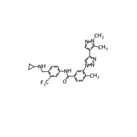 Cc1ccc(C(=O)Nc2ccc(CNC3CC3)c(C(F)(F)F)c2)cc1-n1cc(-c2cnn(C)c2C)nn1